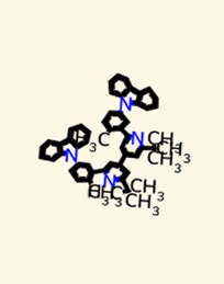 Cc1ccc(-n2c3ccccc3c3ccccc32)cc1-c1cc(-c2cc(-c3cc(-n4c5ccccc5c5ccccc54)ccc3C)nc(C(C)(C)C)c2)cc(C(C)(C)C)n1